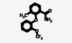 Cc1cccc(C(N)=O)c1Oc1ccccc1OC(F)(F)F